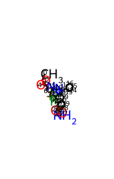 CCOC(=O)c1csc(-n2nc(C3=CC=CCC3)c(Cc3ccc(S(N)(=O)=O)cc3)c2C(F)(F)F)n1